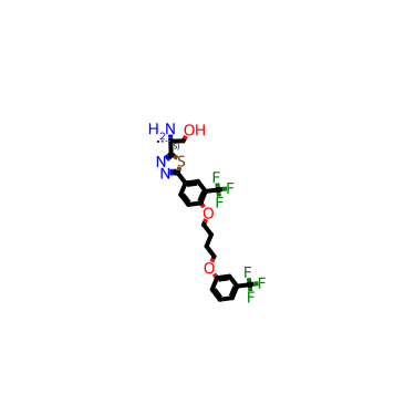 C[C@](N)(CO)c1nnc(-c2ccc(OCCCCOc3cccc(C(F)(F)F)c3)c(C(F)(F)F)c2)s1